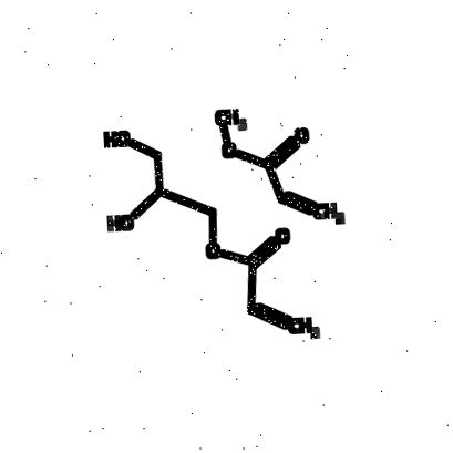 C=CC(=O)OC.C=CC(=O)OCC(O)CO